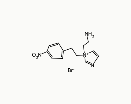 NCC[N+]1(CCc2ccc([N+](=O)[O-])cc2)C=CN=C1.[Br-]